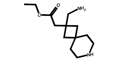 CCOC(=O)CC1(CN)CC2(CCNCC2)C1